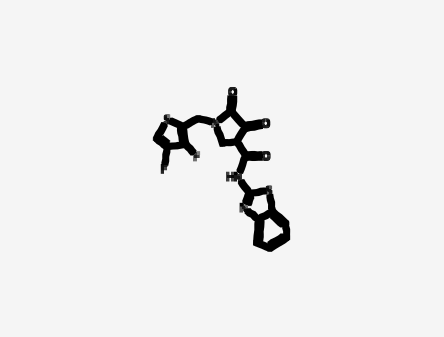 O=C(Nc1nc2ccccc2s1)C1CN(Cc2scc(F)c2F)C(=O)C1=O